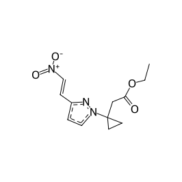 CCOC(=O)CC1(n2ccc(/C=C/[N+](=O)[O-])n2)CC1